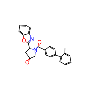 Cc1ccccc1-c1ccc(C(=O)N2CC(=O)C[C@H]2c2nc3ccccc3o2)cc1